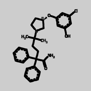 CC(C)(CCC(C(N)=O)(c1ccccc1)c1ccccc1)N1CC[C@H](Oc2cc(O)cc(Cl)c2)C1